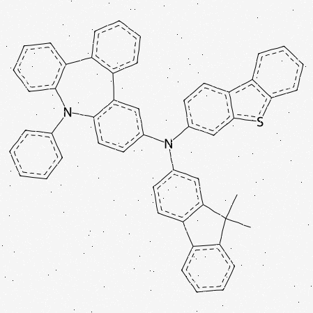 CC1(C)c2ccccc2-c2ccc(N(c3ccc4c(c3)-c3ccccc3-c3ccccc3N4c3ccccc3)c3ccc4c(c3)sc3ccccc34)cc21